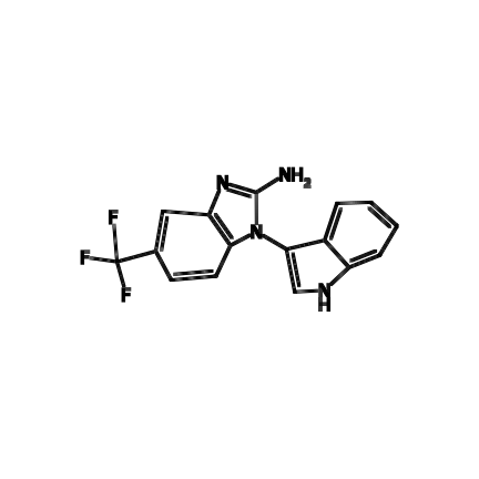 Nc1nc2cc(C(F)(F)F)ccc2n1-c1c[nH]c2ccccc12